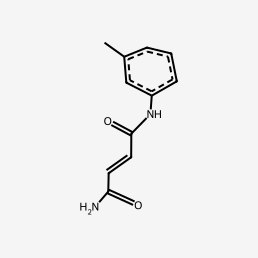 Cc1cccc(NC(=O)/C=C/C(N)=O)c1